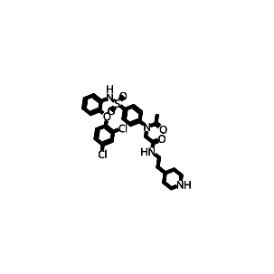 CC(=O)N(CC(=O)NCCC1CCNCC1)c1ccc(S(=O)(=O)Nc2ccccc2Oc2ccc(Cl)cc2Cl)cc1